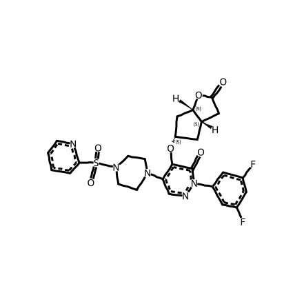 O=C1C[C@@H]2C[C@H](Oc3c(N4CCN(S(=O)(=O)c5ccccn5)CC4)cnn(-c4cc(F)cc(F)c4)c3=O)C[C@@H]2O1